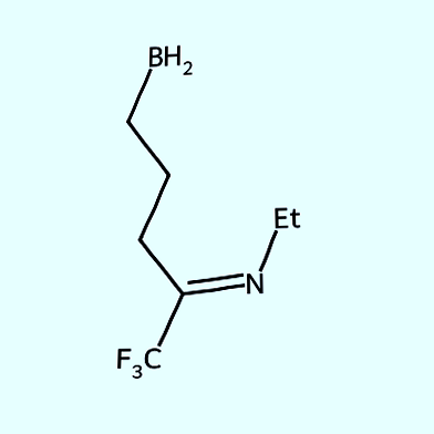 BCCC/C(=N\CC)C(F)(F)F